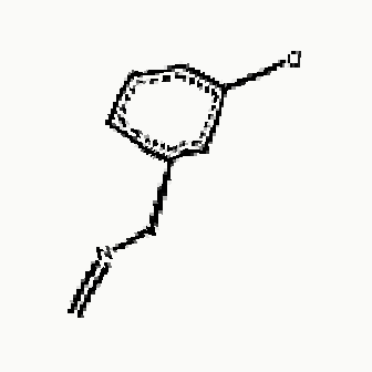 C=NCc1cccc(Cl)c1